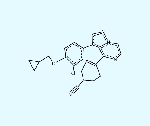 N#CC1CC=C(c2nccn3ncc(-c4ccc(OCC5CC5)c(Cl)c4)c23)CC1